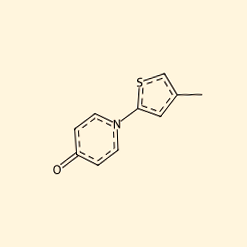 Cc1csc(-n2ccc(=O)cc2)c1